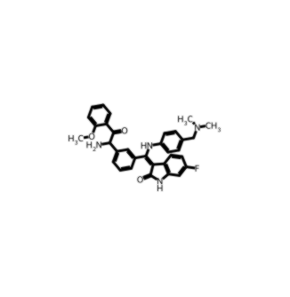 COc1ccccc1C(=O)C(N)c1cccc(C(Nc2ccc(CN(C)C)cc2)=C2C(=O)Nc3cc(F)ccc32)c1